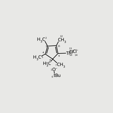 CC(C)(C)[O-].CC1=C(C)C(C)(C)[C]([Ti+3])=C1C.[Cl-].[Cl-]